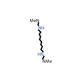 CNCCNCCCCCCCCCCNCCNC